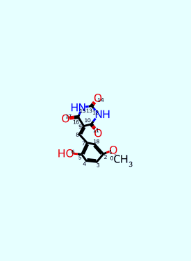 COc1ccc(O)c(C=C2C(=O)NC(=O)NC2=O)c1